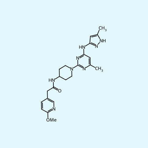 COc1ccc(CC(=O)NC2CCN(c3nc(C)cc(Nc4cc(C)[nH]n4)n3)CC2)cn1